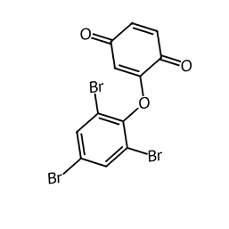 O=C1C=CC(=O)C(Oc2c(Br)cc(Br)cc2Br)=C1